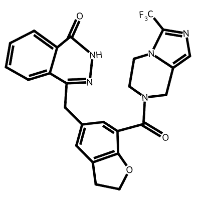 O=C(c1cc(Cc2n[nH]c(=O)c3ccccc23)cc2c1OCC2)N1CCn2c(cnc2C(F)(F)F)C1